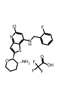 N[C@@H]1CCCO[C@H]1c1cc2nc(Cl)cc(NCc3ccccc3F)c2s1.O=C(O)C(F)(F)F